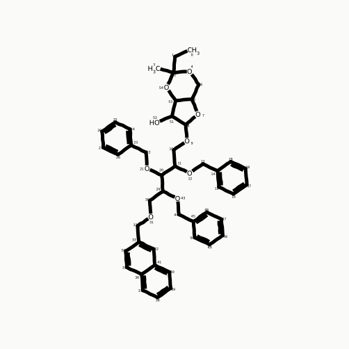 CCC1(C)OCC2OC(OCC(OCc3ccccc3)C(OCc3ccccc3)C(COCc3ccc4ccccc4c3)OCc3ccccc3)C(O)C2O1